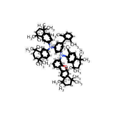 Cc1cc2c(cc1N(c1cc(-c3c(C)cccc3C)cc(N(c3ccc4c(c3)C(C)(C)CCC4(C)C)c3ccc4c(c3)C(C)(C)CCC4(C)C)c1)c1cccc3c1oc1cc4c(cc13)C(C)(C)CCC4(C)C)C(C)(C)CCC2(C)C